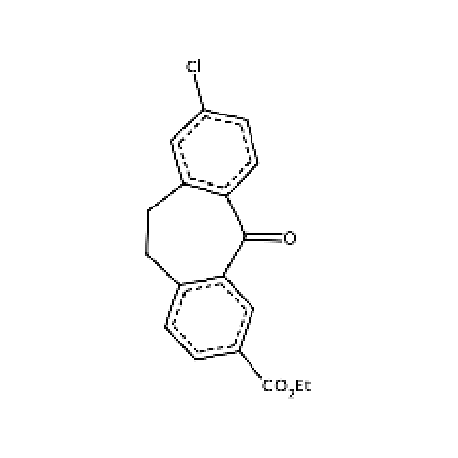 CCOC(=O)c1ccc2c(c1)C(=O)c1ccc(Cl)cc1CC2